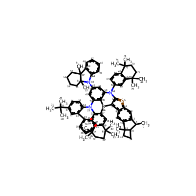 CC1c2cc3sc4c(c3cc2C2(C)CCC12)B1c2cc3c(cc2N(c2ccc(C(C)(C)C)cc2-c2ccccc2)c2cc(N5c6ccccc6C6(C)CCCCC56C)cc(c21)N4c1ccc2c(c1)C(C)(C)CCC2(C)C)C(C)(C)CCC3(C)C